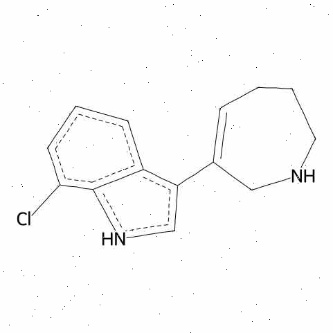 Clc1cccc2c(C3=CCCCNC3)c[nH]c12